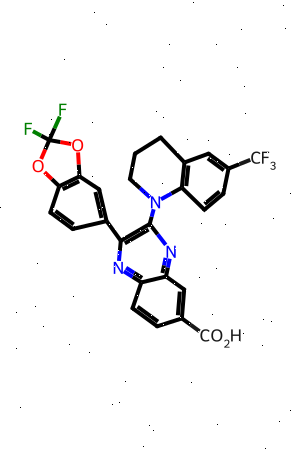 O=C(O)c1ccc2nc(-c3ccc4c(c3)OC(F)(F)O4)c(N3CCCc4cc(C(F)(F)F)ccc43)nc2c1